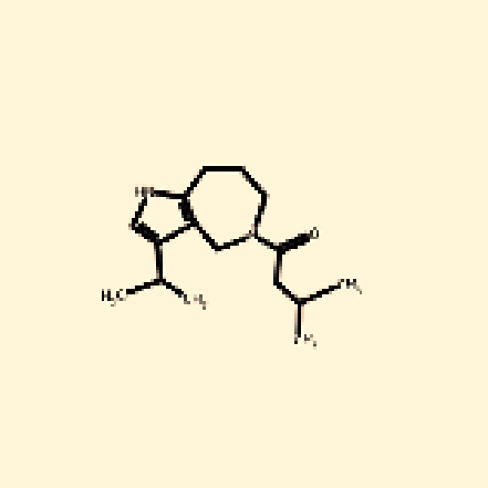 CC(C)CC(=O)N1CCCc2[nH]cc(C(C)C)c2C1